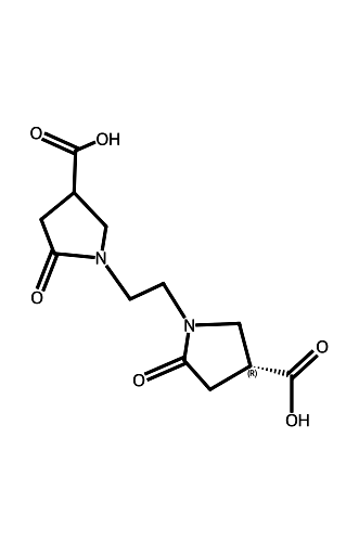 O=C(O)C1CC(=O)N(CCN2C[C@H](C(=O)O)CC2=O)C1